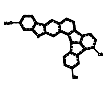 COc1ccc2c(c1)sc1cc3c(ccc4c5ccc(OC)c6c7cc(C(C)(C)C)ccc7n(c34)c56)cc12